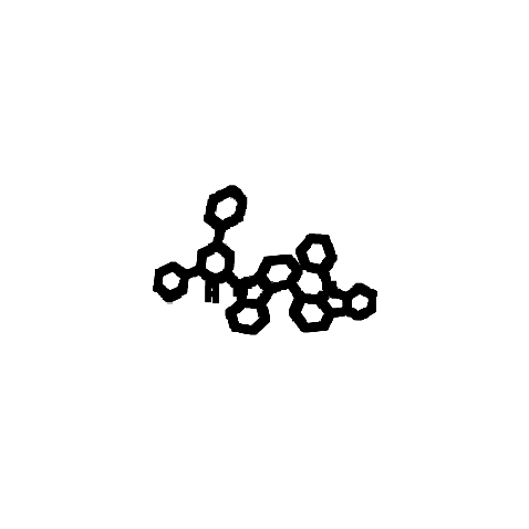 C1CCC(C2CC(C3CCCCC3)NC(N3C4CCCCC4C4C(C5CCCC6C7CCCCC7N(C7CCCCC7)C56)CCCC43)C2)CC1